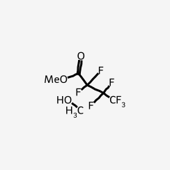 CO.COC(=O)C(F)(F)C(F)(F)C(F)(F)F